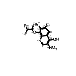 O=[N+]([O-])c1cnc2c(OC(F)C(F)F)c(Br)c(Cl)cc2c1O